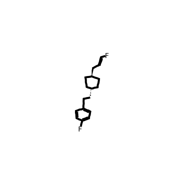 FC=CC[C@H]1CC[C@H](CCc2ccc(F)cc2)CC1